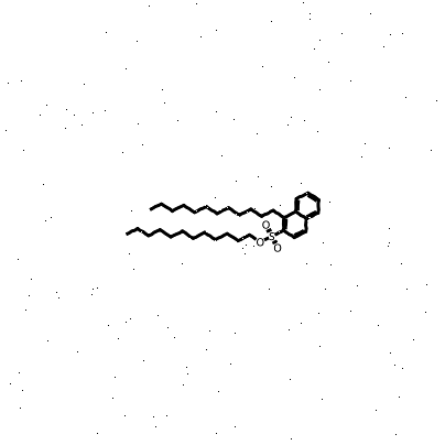 CCCCCCCCCCCCOS(=O)(=O)c1ccc2ccccc2c1CCCCCCCCCCCC